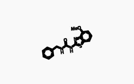 COc1cccc2sc(NC(=O)NCc3ccccc3)nc12